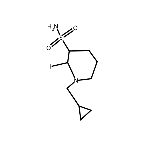 NS(=O)(=O)C1CCCN(CC2CC2)C1I